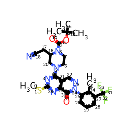 CSc1nc(N2CCN(C(=O)OC(C)(C)C)C(CC#N)C2)c2cnn(-c3cccc(C(F)(F)F)c3C)c(=O)c2n1